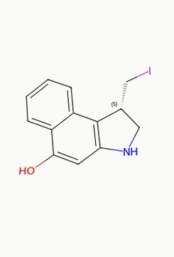 Oc1cc2c(c3ccccc13)[C@H](CI)CN2